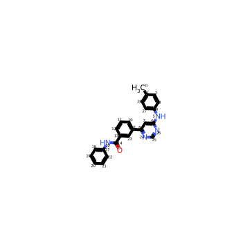 Cc1ccc(Nc2cc(-c3cccc(C(=O)Nc4ccccc4)c3)ncn2)cc1